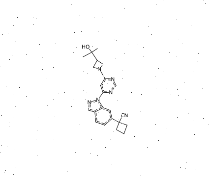 CC(C)(O)C1CN(c2cc(-n3ncc4ccc(C5(C#N)CCC5)cc43)ncn2)C1